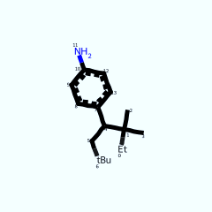 CCC(C)(C)C(CC(C)(C)C)c1ccc(N)cc1